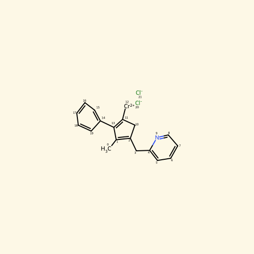 CC1=C(Cc2ccccn2)C[C]([Cr+2])=C1c1ccccc1.[Cl-].[Cl-]